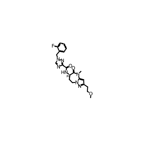 COCCc1cc2n(n1)CC[C@@H](NC(=O)c1ncn(Cc3ccccc3F)n1)C(=O)N2C